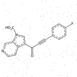 O=C(C#Cc1ccc(F)cc1)c1cn(C(=O)O)c2cnccc12